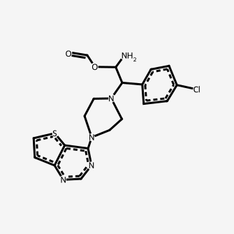 NC(OC=O)C(c1ccc(Cl)cc1)N1CCN(c2ncnc3ccsc23)CC1